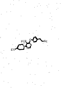 [CH2]CC1CCN(c2ncnc(Oc3ccc(CCC(C)=O)cc3)c2N)CC1